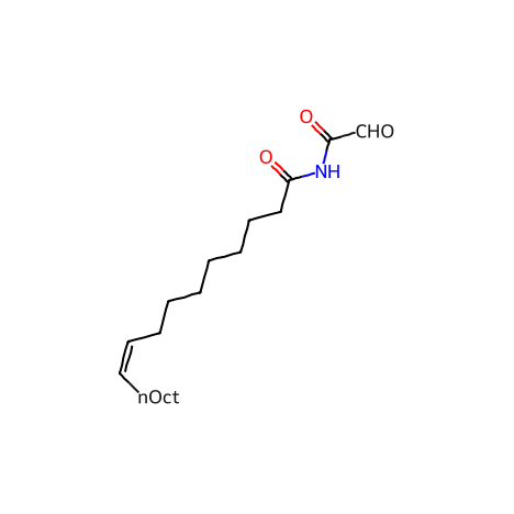 CCCCCCCC/C=C\CCCCCCCC(=O)NC(=O)C=O